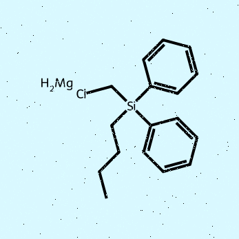 CCCC[Si](CCl)(c1ccccc1)c1ccccc1.[MgH2]